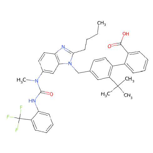 CCCCc1nc2ccc(N(C)C(=O)Nc3ccccc3C(F)(F)F)cc2n1Cc1ccc(-c2ccccc2C(=O)O)c(C(C)(C)C)c1